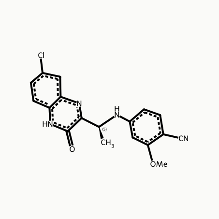 COc1cc(N[C@@H](C)c2nc3cc(Cl)ccc3[nH]c2=O)ccc1C#N